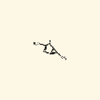 CC1=NC2=C(C)C2N1